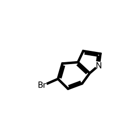 Brc1ccc2c(c1)C=C=N2